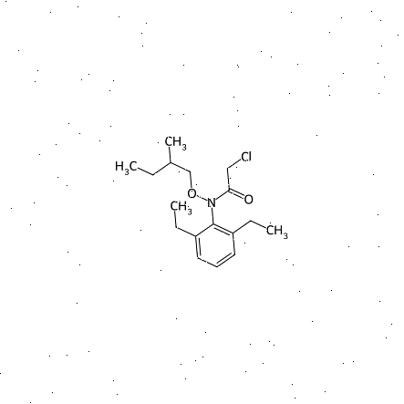 CCc1cccc(CC)c1N(OCC(C)CC)C(=O)CCl